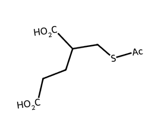 CC(=O)SCC(CCC(=O)O)C(=O)O